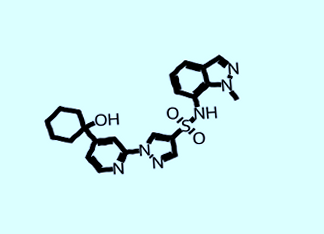 Cn1ncc2cccc(NS(=O)(=O)c3cnn(-c4cc(C5(O)CCCCC5)ccn4)c3)c21